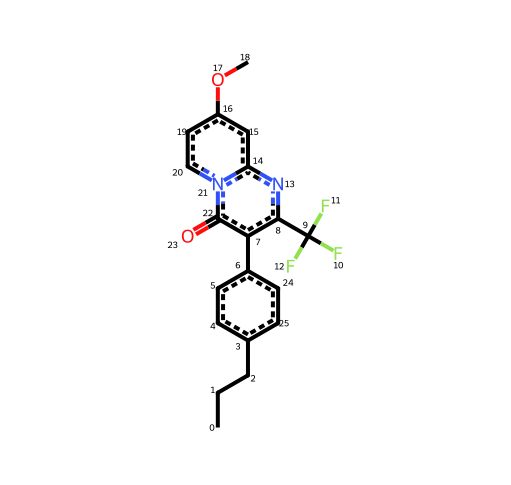 CCCc1ccc(-c2c(C(F)(F)F)nc3cc(OC)ccn3c2=O)cc1